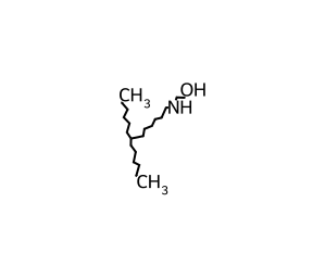 CCCCCCC(CCCCCC)CCCCCCNCCO